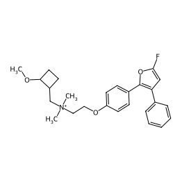 COC1CCC1C[N+](C)(C)CCOc1ccc(-c2oc(F)cc2-c2ccccc2)cc1